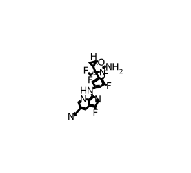 N#Cc1cnc2c(Nc3cc(F)c(F)c([C@@]4(C(F)F)N=C(N)O[C@@H]5CC54)c3)ncc(F)c2c1